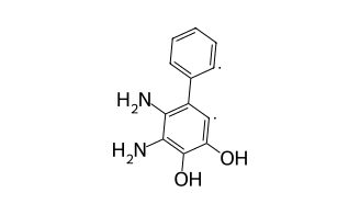 Nc1c(-c2[c]cccc2)[c]c(O)c(O)c1N